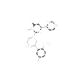 COc1ccc(Br)cc1C1CN(c2nc(-c3ccncn3)cc(=O)n2C)CCN1